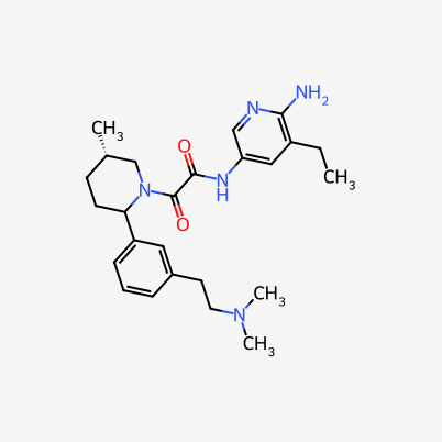 CCc1cc(NC(=O)C(=O)N2C[C@@H](C)CCC2c2cccc(CCN(C)C)c2)cnc1N